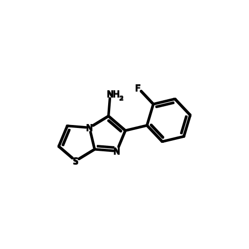 Nc1c(-c2ccccc2F)nc2sccn12